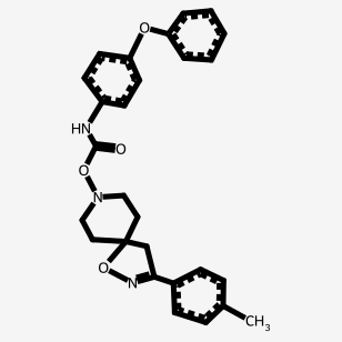 Cc1ccc(C2=NOC3(CCN(OC(=O)Nc4ccc(Oc5ccccc5)cc4)CC3)C2)cc1